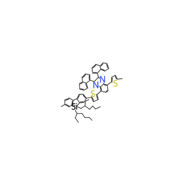 CCCCC(CC)C[Si]1(CC(CC)CCCC)c2cc(C)ccc2-c2ccc(-c3ccc(-c4ccc(-c5ccc(C)s5)c5nc(-c6cccc7ccccc67)c(-c6cccc7ccccc67)nc45)s3)cc21